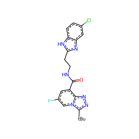 CC(C)(C)c1nnc2c(C(=O)NCCc3nc4cc(Cl)ccc4[nH]3)cc(F)cn12